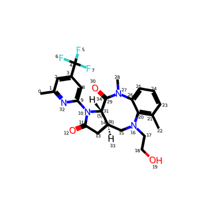 Cc1cc(C(F)(F)F)cc(N2C(=O)C[C@@H]3CN(CCO)c4c(C)cccc4N(C)C(=O)[C@H]32)n1